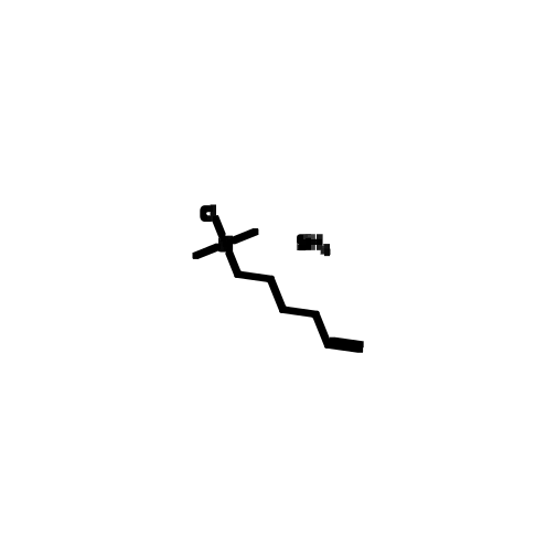 C=CCCCC[Si](C)(C)Cl.[SiH4]